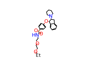 CCOCCOCCNS(=O)(=O)c1ccc(O[C@H]2c3ccccc3C[C@@H]2N2CCCCC2)cc1